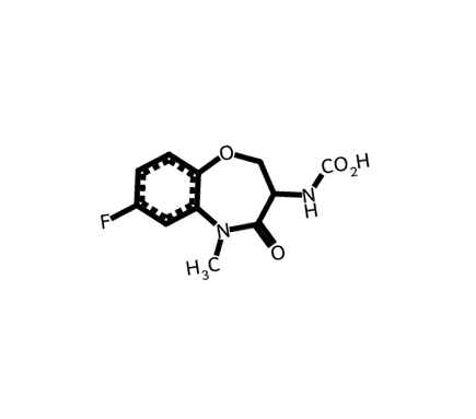 CN1C(=O)C(NC(=O)O)COc2ccc(F)cc21